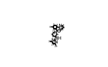 Cc1ccc(-c2ncccn2)c(C(=O)N2CCCC(Nc3nc(C)cc(C)n3)C2)c1